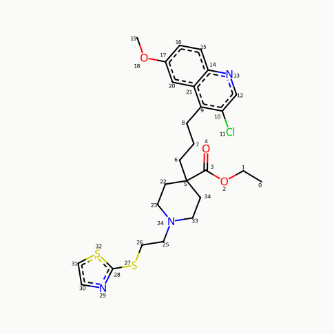 CCOC(=O)C1(CCCc2c(Cl)cnc3ccc(OC)cc23)CCN(CCSc2nccs2)CC1